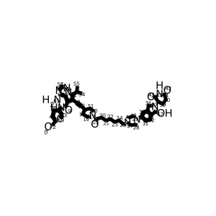 COCc1ccc(NC(=O)c2c(C#CC3CCN(C(=O)CCCCCCN4CCN(c5ccc6c(c5)CN(C5CCC(=O)NC5=O)C6O)CC4)CC3)c(C(C)C)n3ncnc(N)c23)cc1